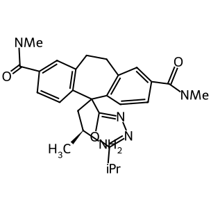 CNC(=O)c1ccc2c(c1)CCc1cc(C(=O)NC)ccc1C2(C[C@H](C)N)c1nnc(C(C)C)o1